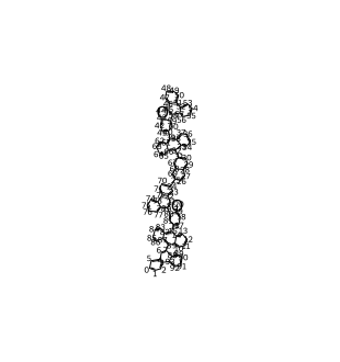 c1ccc2c(c1)cc(-c1c3ccccc3c(-c3ccc4oc5c6cc(-c7ccc8ccc(-c9c%10ccccc%10c(-c%10ccc%11oc%12c%13ccccc%13c%13ccccc%13c%12c%11c%10)c%10ccccc9%10)cc8c7)ccc6c6ccccc6c5c4c3)c3ccccc13)c1ccccc12